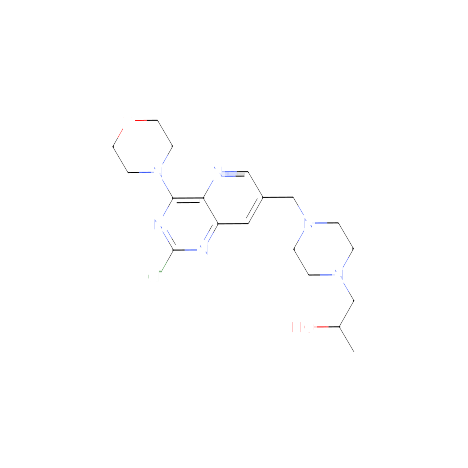 CC(O)CN1CCN(Cc2cnc3c(N4CCOCC4)nc(Cl)nc3c2)CC1